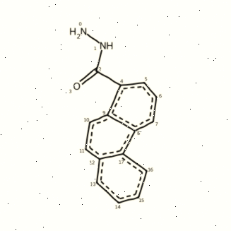 NNC(=O)c1cccc2c1ccc1ccccc12